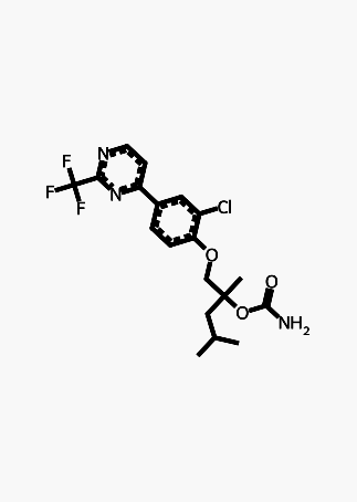 CC(C)CC(C)(COc1ccc(-c2ccnc(C(F)(F)F)n2)cc1Cl)OC(N)=O